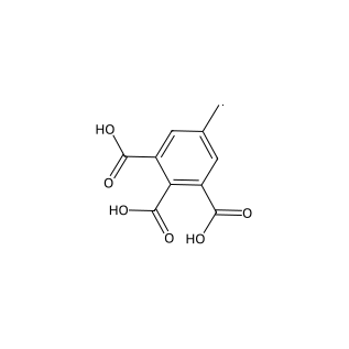 [CH2]c1cc(C(=O)O)c(C(=O)O)c(C(=O)O)c1